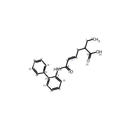 CCC(C/C=C/C(=O)Nc1ccccc1-c1ccccc1)C(=O)O